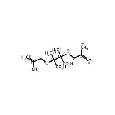 C=C(C)COC(C)(C(=O)O)C(C)(OCC(=C)C)C(=O)O